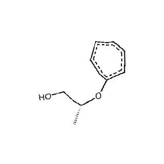 C[C@H](CO)Oc1ccccc1